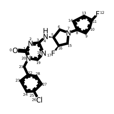 O=c1nc(N[C@@H]2CN(c3ccc(F)cc3)C[C@H]2F)ncn1Cc1ccc(Cl)cc1